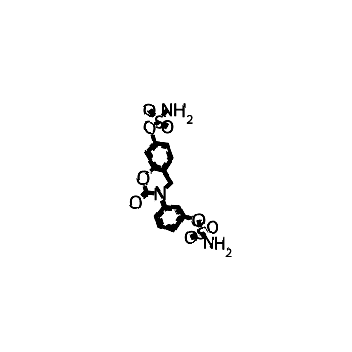 NS(=O)(=O)Oc1cccc(N2Cc3ccc(OS(N)(=O)=O)cc3OC2=O)c1